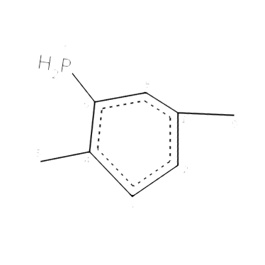 Cc1ccc(C)c(P)c1